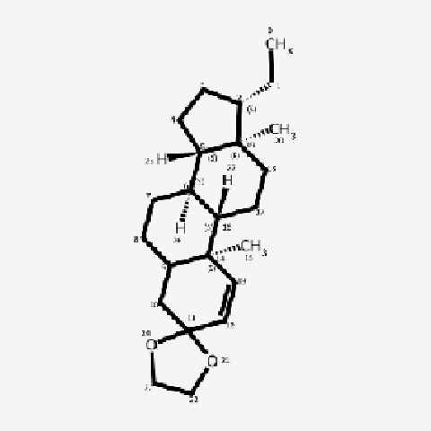 CC[C@H]1CC[C@H]2[C@@H]3CCC4CC5(C=C[C@]4(C)[C@H]3CC[C@]12C)OCCO5